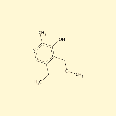 CCc1cnc(C)c(O)c1COC